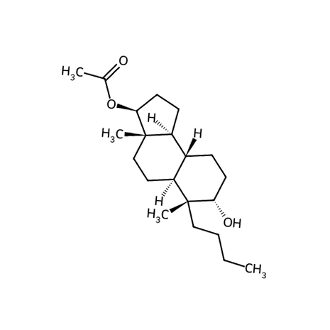 CCCC[C@@]1(C)[C@@H](O)CC[C@@H]2[C@@H]1CC[C@]1(C)[C@@H](OC(C)=O)CC[C@@H]21